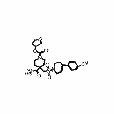 N#Cc1ccc(C2=CCN(S(=O)(=O)CC3(C(=O)NO)CCN(C(=O)OC4CCOC4)CC3)CC2)cc1